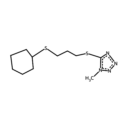 Cn1nnnc1SCCCSC1CCCCC1